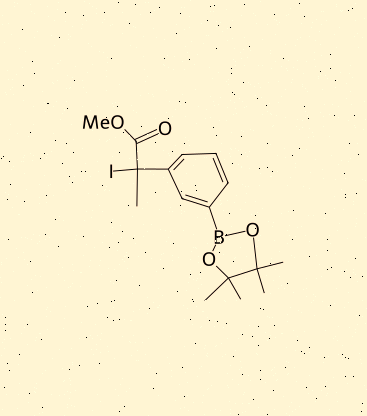 COC(=O)C(C)(I)c1cccc(B2OC(C)(C)C(C)(C)O2)c1